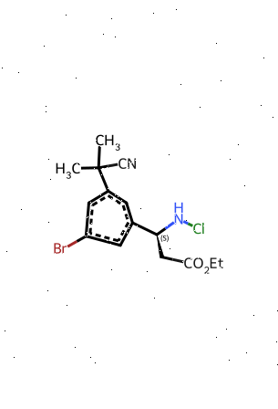 CCOC(=O)C[C@H](NCl)c1cc(Br)cc(C(C)(C)C#N)c1